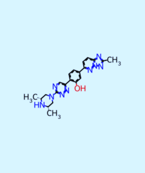 Cc1nc2ccc(-c3ccc(-c4cnc(N5C[C@@H](C)N[C@@H](C)C5)nn4)c(O)c3)nn2n1